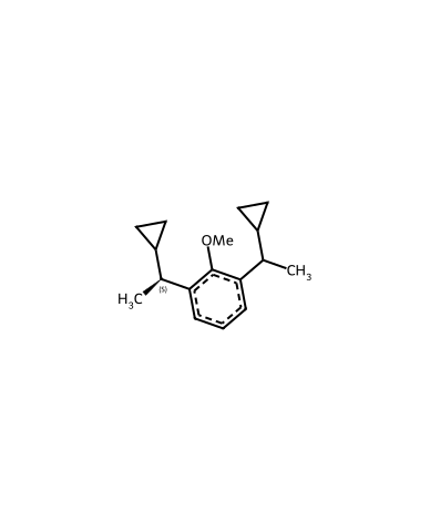 COc1c(C(C)C2CC2)cccc1[C@@H](C)C1CC1